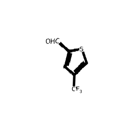 O=Cc1cc(C(F)(F)F)cs1